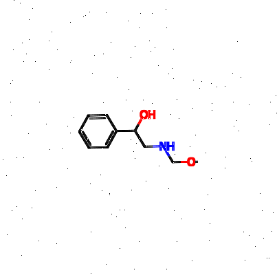 [O]CNCC(O)c1ccccc1